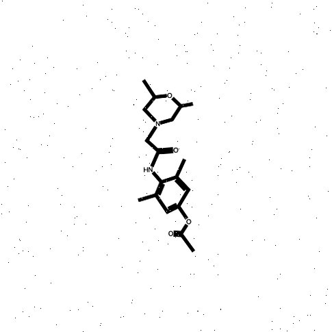 CC(=O)Oc1cc(C)c(NC(=O)CN2CC(C)OC(C)C2)c(C)c1